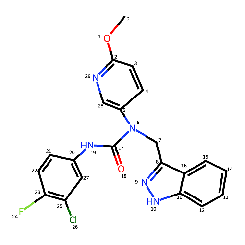 COc1ccc(N(Cc2n[nH]c3ccccc23)C(=O)Nc2ccc(F)c(Cl)c2)cn1